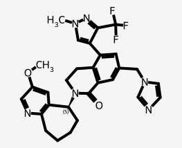 COc1cnc2c(c1)[C@@H](N1CCc3c(cc(Cn4ccnc4)cc3-c3cn(C)nc3C(F)(F)F)C1=O)CCCC2